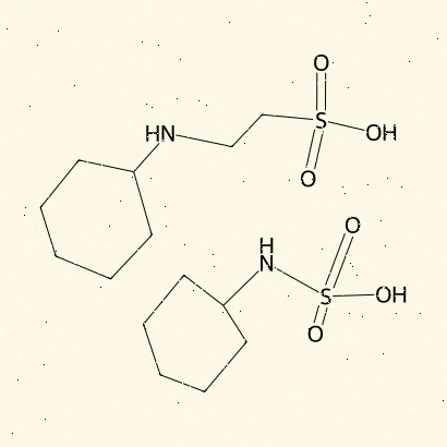 O=S(=O)(O)CCNC1CCCCC1.O=S(=O)(O)NC1CCCCC1